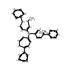 C=C(/C=C\C(=C/C)N(C1=CC=C(c2ccccc2)CC=C1)C(/C=C\Cc1ccccc1)=C/CC)c1ccccc1